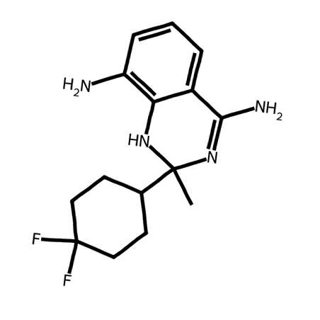 CC1(C2CCC(F)(F)CC2)N=C(N)c2cccc(N)c2N1